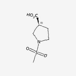 CS(=O)(=O)N1CC[C@H](C(=O)O)C1